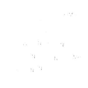 COc1ccc(Cn2c(=O)n3c(C4(C)CC4)nnc3c3nc(OC)ncc32)cc1